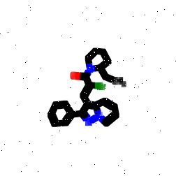 CCC1CCCCN1C(=O)/C(Br)=C/c1c(-c2ccccc2)nn2ccccc12